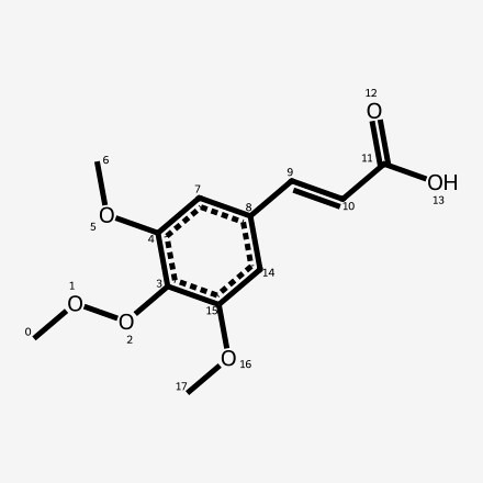 COOc1c(OC)cc(C=CC(=O)O)cc1OC